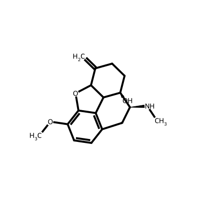 C=C1CC[C@@]2(O)C3c4c(ccc(OC)c4OC13)C[C@@H]2NC